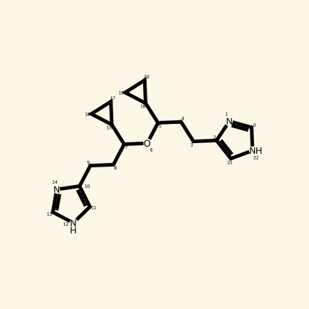 c1nc(CCC(OC(CCc2c[nH]cn2)C2CC2)C2CC2)c[nH]1